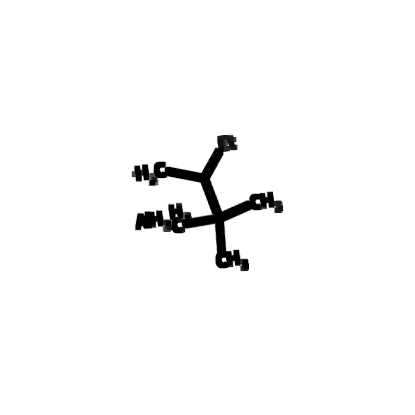 [AlH3].[CH2]C(CC)C(C)(C)C